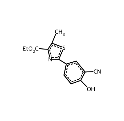 CCOC(=O)c1nc(-c2ccc(O)c(C#N)c2)sc1C